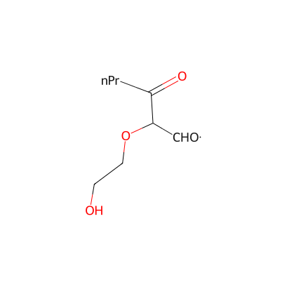 CCCC(=O)C([C]=O)OCCO